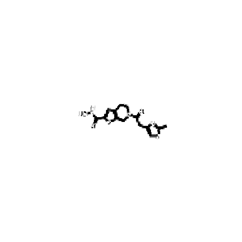 Cc1nc(CC(=O)N2CCc3cc(C(=O)NO)sc3C2)cs1